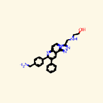 NCc1ccc(-c2nc3ccn4c(CNCCO)nnc4c3cc2-c2ccccc2)cc1